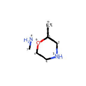 CCC1CNCCO1.CN